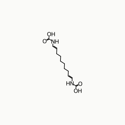 O=C(O)NC=CCCCCCCC=CNC(=O)O